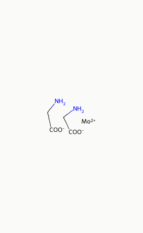 NCC(=O)[O-].NCC(=O)[O-].[Mo+2]